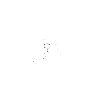 CCOCCN(CCOCC)CC1=C2C[C@@H](O)CC[C@]2(C)[C@H]2CC[C@]3(C)[C@@H]([C@H](C)CCCC(C)C)CC[C@H]3[C@@H]2C1